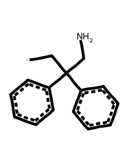 [CH2]CC(CN)(c1ccccc1)c1ccccc1